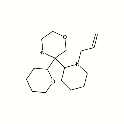 C=CCN1CCCCC1C1(C2CCCCO2)COCC[N]1